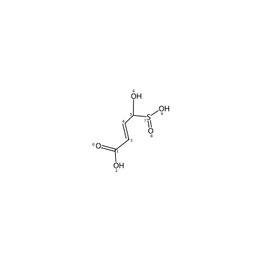 O=C(O)C=CC(O)S(=O)O